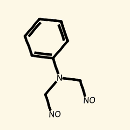 O=NCN(CN=O)c1ccccc1